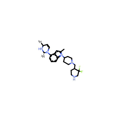 [2H]C1C=CN(c2cccc3c2cc(C)n3C2CCN(CC3CCNCC3(F)F)CC2)[C@H]([2H])N1